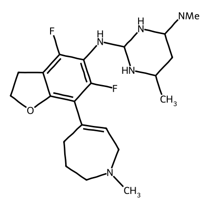 CNC1CC(C)NC(Nc2c(F)c3c(c(C4=CCN(C)CCC4)c2F)OCC3)N1